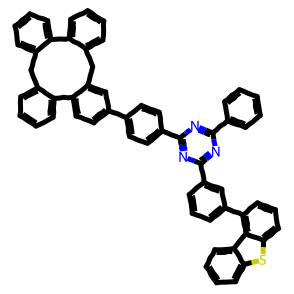 c1ccc(-c2nc(-c3ccc(-c4ccc5c(c4)Cc4ccccc4-c4ccccc4Cc4ccccc4-5)cc3)nc(-c3cccc(-c4cccc5sc6ccccc6c45)c3)n2)cc1